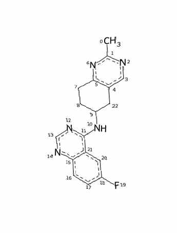 Cc1ncc2c(n1)CCC(Nc1ncnc3ccc(F)cc13)C2